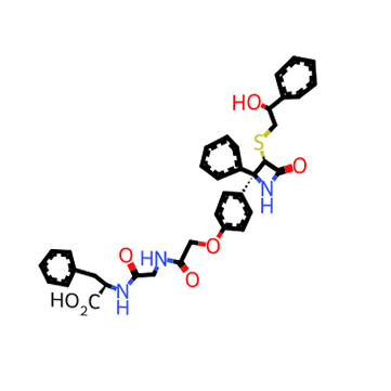 O=C(COc1ccc([C@@]2(c3ccccc3)NC(=O)[C@@H]2SCC(O)c2ccccc2)cc1)NCC(=O)N[C@H](Cc1ccccc1)C(=O)O